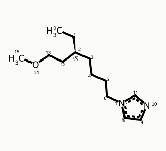 CC[C@@H](CCCCn1ccnc1)CCOC